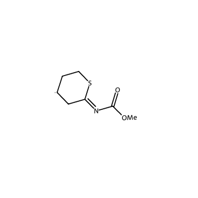 COC(=O)/N=C1/C[CH]CCS1